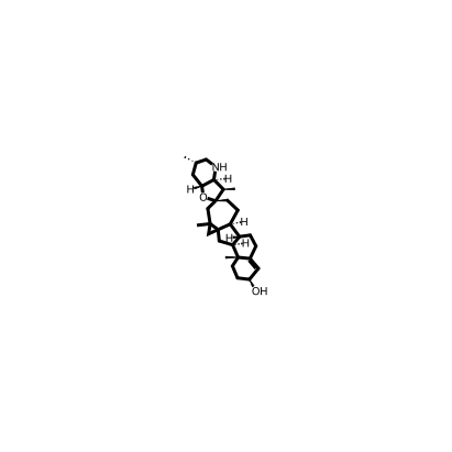 C[C@@H]1CN[C@H]2[C@@H](C)[C@@]3(CC[C@H]4[C@@H]5CCC6=C[C@@H](O)CC[C@]6(C)[C@H]5CC45CC5(C)C3)O[C@@H]2C1